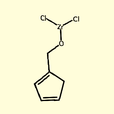 [Cl][Zr]([Cl])[O]CC1=CC=CC1